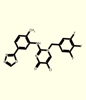 Cc1ccc(-c2nnco2)cc1Nc1nc(=O)c(Cl)cn1Cc1cc(F)c(F)c(F)c1